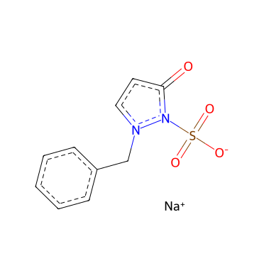 O=c1ccn(Cc2ccccc2)n1S(=O)(=O)[O-].[Na+]